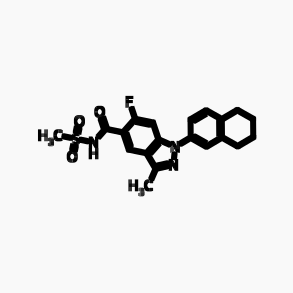 Cc1nn(-c2ccc3c(c2)CCCC3)c2cc(F)c(C(=O)NS(C)(=O)=O)cc12